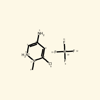 CN1[NH2+]C=C(N)C=C1Cl.F[B-](F)(F)F